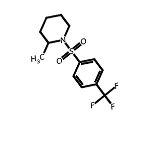 CC1CCCCN1S(=O)(=O)c1ccc(C(F)(F)F)cc1